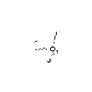 CCCCCCCCCCCCCCCC(=O)Oc1cc2c(cc1OC(=O)CCCCCCCCCCCCCCC)C(CSc1cccs1)NCC2.O=C(O)C=CC(=O)O